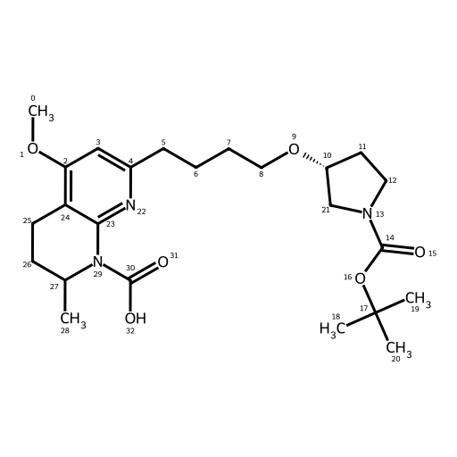 COc1cc(CCCCO[C@@H]2CCN(C(=O)OC(C)(C)C)C2)nc2c1CCC(C)N2C(=O)O